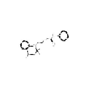 CC1CC(C)(C)N(CCOC(=O)Oc2ccccc2)c2ccccc21